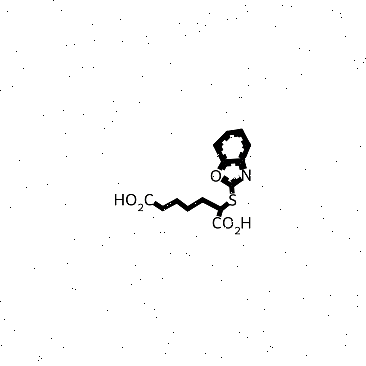 O=C(O)CCCCC(Sc1nc2ccccc2o1)C(=O)O